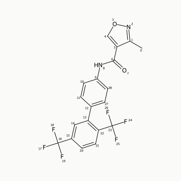 Cc1nocc1C(=O)Nc1ccc(-c2cc(C(F)(F)F)ccc2C(F)(F)F)cc1